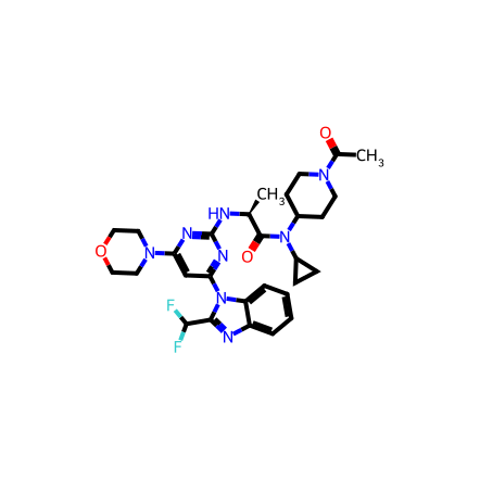 CC(=O)N1CCC(N(C(=O)[C@H](C)Nc2nc(N3CCOCC3)cc(-n3c(C(F)F)nc4ccccc43)n2)C2CC2)CC1